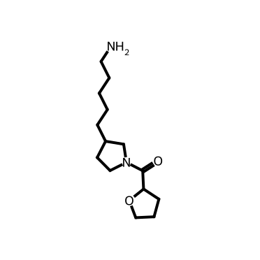 NCCCCCC1CCN(C(=O)C2CCCO2)C1